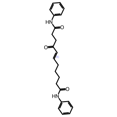 O=C(/C=C/CCCCC(=O)Nc1ccccc1)CCC(=O)Nc1ccccc1